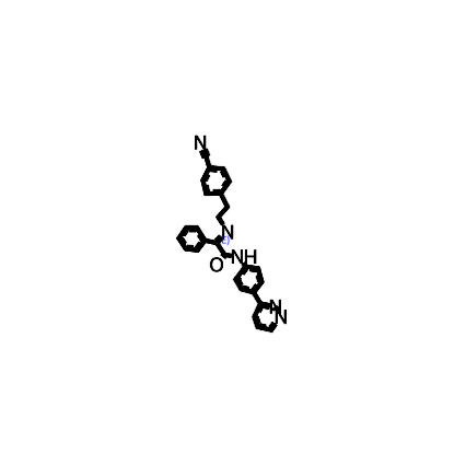 N#Cc1ccc(CC/N=C(/C(=O)Nc2ccc(-c3cccnn3)cc2)c2ccccc2)cc1